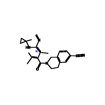 C=N/C(NC1(C)CC1)=C(\C)C(C(=O)N1CCc2cc(C#N)ccc2C1)=C(C)C